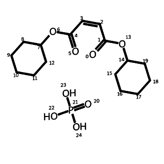 O=C(/C=C\C(=O)OC1CCCCC1)OC1CCCCC1.O=P(O)(O)O